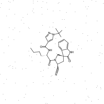 CCCC[C@H](NC(=O)c1cnn(C(C)(C)C)c1)C(=O)N1C[C@]2(C[C@H]1C#N)C(=O)Nc1ccccc12